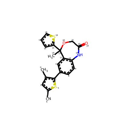 Cc1cc(C#N)sc1-c1ccc2c(c1)C(C)(c1cccs1)OCC(=O)N2